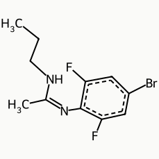 CCCNC(C)=Nc1c(F)cc(Br)cc1F